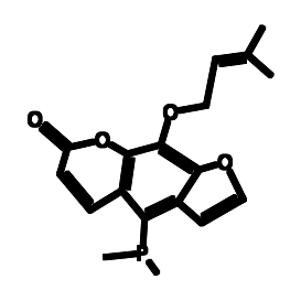 CC(C)=CCOc1c2occc2c(P(C)C)c2ccc(=O)oc12